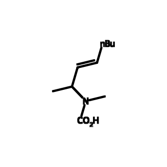 CCCCC=CC(C)N(C)C(=O)O